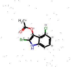 CC(=O)Oc1c(Br)[nH]c2cccc(Cl)c12